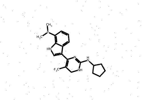 CP(C)c1cccc2c(C3=C(C(F)(F)F)CNC(NC4CCCC4)=N3)c[nH]c12